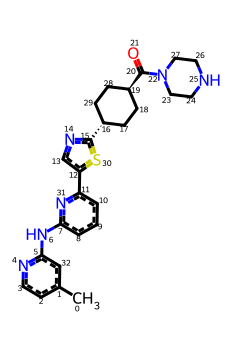 Cc1ccnc(Nc2cccc(-c3cnc([C@H]4CC[C@H](C(=O)N5CCNCC5)CC4)s3)n2)c1